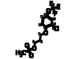 CS(=O)(=O)OCCCOc1ccc(OC(F)(F)F)cc1Cl